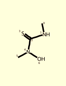 CNC(=S)N(C)O